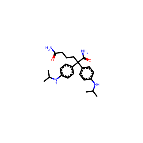 CC(C)Nc1ccc(C(CCCC(N)=O)(C(N)=O)c2ccc(NC(C)C)cc2)cc1